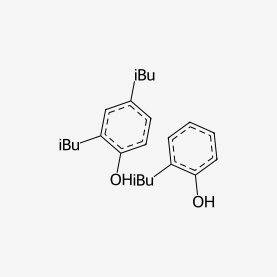 CCC(C)c1ccc(O)c(C(C)CC)c1.CCC(C)c1ccccc1O